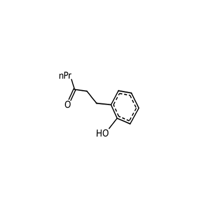 CCCC(=O)CCc1ccccc1O